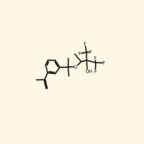 C=C(C)c1cccc(C(C)(C)OC(C)C(O)(C(F)(F)F)C(F)(F)F)c1